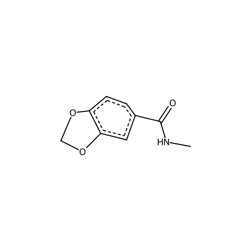 CNC(=O)c1ccc2c(c1)OCO2